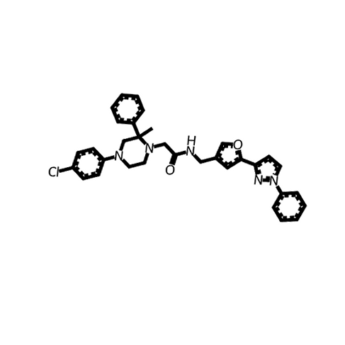 CC1(c2ccccc2)CN(c2ccc(Cl)cc2)CCN1CC(=O)NCc1coc(-c2ccn(-c3ccccc3)n2)c1